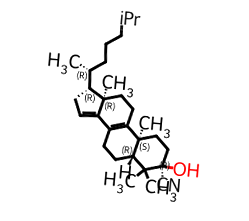 CC(C)CCC[C@@H](C)[C@H]1CC=C2C3=C(CC[C@@]21C)[C@@]1(C)CC[C@](O)(C#N)C(C)(C)[C@@H]1CC3